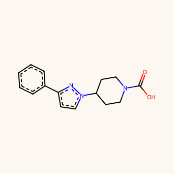 O=C(O)N1CCC(n2ccc(-c3ccccc3)n2)CC1